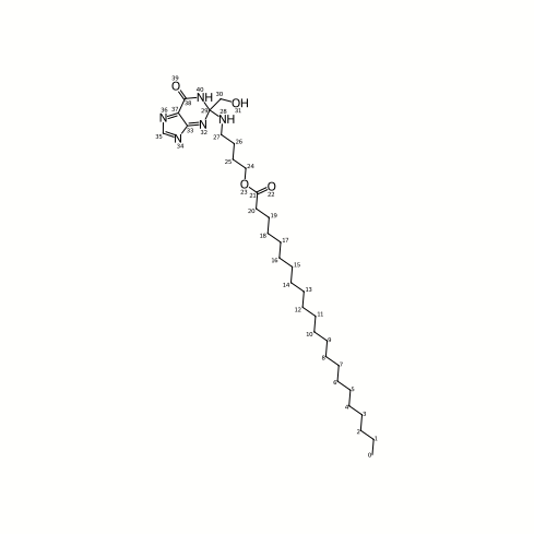 CCCCCCCCCCCCCCCCCCCCCC(=O)OCCCCNC1(CO)N=C2N=CN=C2C(=O)N1